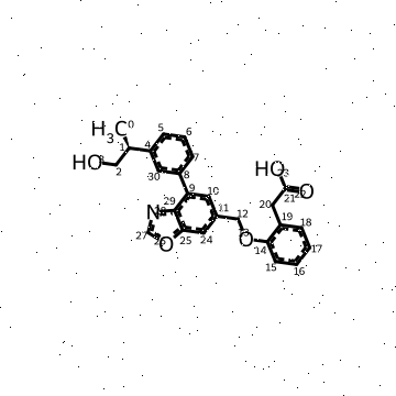 C[C@H](CO)c1cccc(-c2cc(COc3ccccc3CC(=O)O)cc3ocnc23)c1